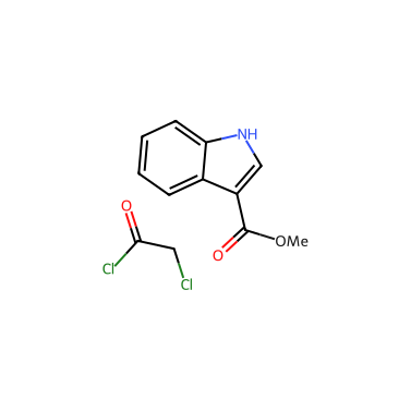 COC(=O)c1c[nH]c2ccccc12.O=C(Cl)CCl